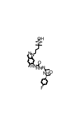 Cc1cc2cnn(CCCC(C)(C)[Si](C)(C)O)c2cc1NC(=O)N/N=C1/COC[C@@H](c2ccc(F)cc2)N1